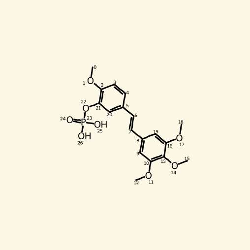 COc1ccc(C=Cc2cc(OC)c(OC)c(OC)c2)cc1OP(=O)(O)O